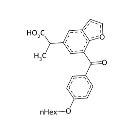 CCCCCCOc1ccc(C(=O)c2cc(C(C)C(=O)O)cc3ccoc23)cc1